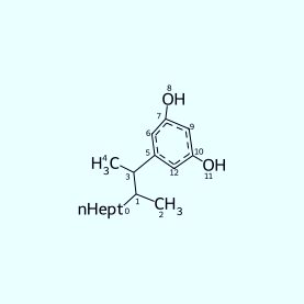 CCCCCCCC(C)C(C)c1cc(O)cc(O)c1